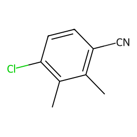 Cc1c(Cl)ccc(C#N)c1C